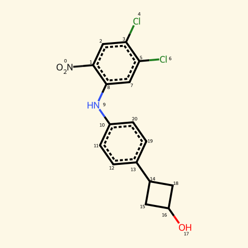 O=[N+]([O-])c1cc(Cl)c(Cl)cc1Nc1ccc(C2CC(O)C2)cc1